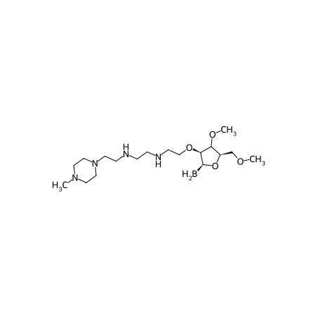 B[C@@H]1O[C@H](COC)C(OC)[C@@H]1OCCNCCNCCN1CCN(C)CC1